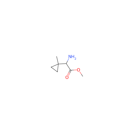 COC(=O)C(N)C1(C)CC1